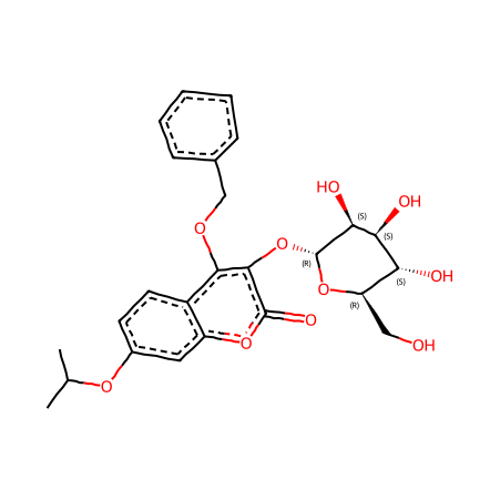 CC(C)Oc1ccc2c(OCc3ccccc3)c(O[C@H]3O[C@H](CO)[C@@H](O)[C@H](O)[C@@H]3O)c(=O)oc2c1